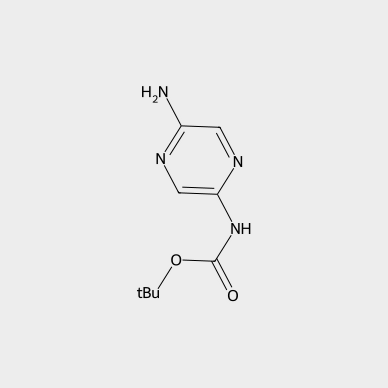 CC(C)(C)OC(=O)Nc1cnc(N)cn1